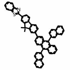 CC1(C)c2cc(-c3ccc4c(-c5ccc6ccccc6c5)c5ccccc5c(-c5ccc6ccccc6c5)c4c3)ccc2-c2ccc(-c3nc4ccccc4s3)cc21